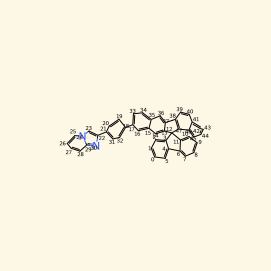 c1ccc2c(c1)-c1ccccc1C21c2cc3cc(-c4ccc(-c5cn6ccccc6n5)cc4)ccc3cc2-c2ccc3ccccc3c21